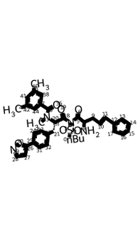 CCCCS(=O)(=O)N(C(=O)C(N)CC=Cc1ccccc1)C(=O)[C@H](Cc1ccc(-c2ccno2)cc1)N(C)C(=O)c1cc(C)cc(C)c1